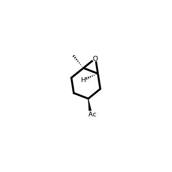 CC(=O)[C@H]1CC[C@@]2(C)O[C@H]2C1